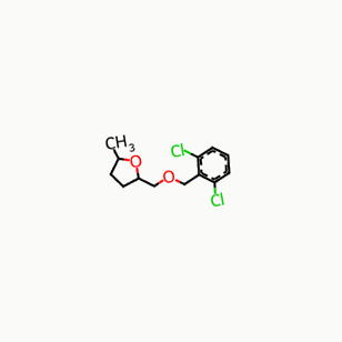 CC1CCC(COCc2c(Cl)cccc2Cl)O1